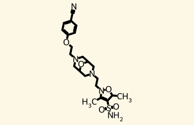 CC1=C(S(N)(=O)=O)C(C)ON1CCN1CC2CN(CCOc3ccc(C#N)cc3)CC(C1)O2